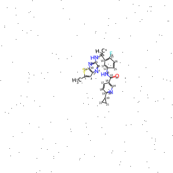 Cc1cc2ncc(N[C@@H](C)c3cc(NC(=O)c4ccc(C5CC5)nc4)ccc3F)nc2s1